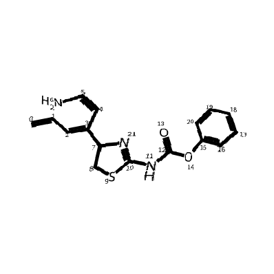 C=C/C=C(\C=C/N)C1CSC(NC(=O)Oc2ccccc2)=N1